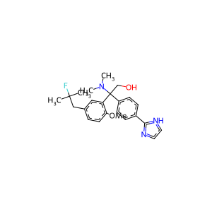 COc1ccc(CC(C)(C)F)cc1C(CO)(c1ccc(-c2ncc[nH]2)cc1)N(C)C